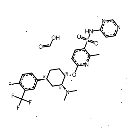 Cc1nc(O[C@H]2CC[C@H](c3ccc(F)c(C(F)(F)F)c3)C[C@@H]2N(C)C)ccc1S(=O)(=O)Nc1ccncn1.O=CO